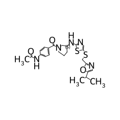 CC(=O)Nc1ccc(C(=O)N2CCC[C@H](Nc3ncc(SCc4ncc(C(C)C)o4)s3)C2)cc1